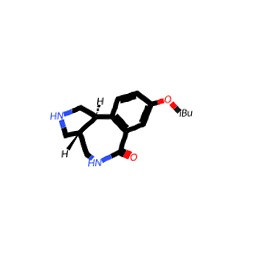 CCC(C)Oc1ccc2c(c1)C(=O)NC[C@@H]1CNC[C@@H]21